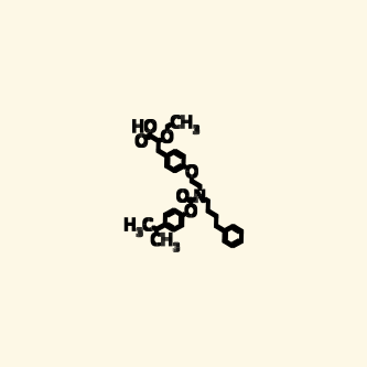 CCOC(Cc1ccc(OCCN(CCCCc2ccccc2)C(=O)Oc2ccc(C(C)C)cc2)cc1)C(=O)O